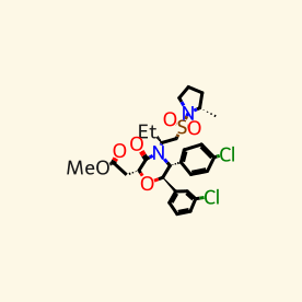 CC[C@@H](CS(=O)(=O)N1CCC[C@@H]1C)N1C(=O)[C@@H](CC(=O)OC)O[C@H](c2cccc(Cl)c2)[C@H]1c1ccc(Cl)cc1